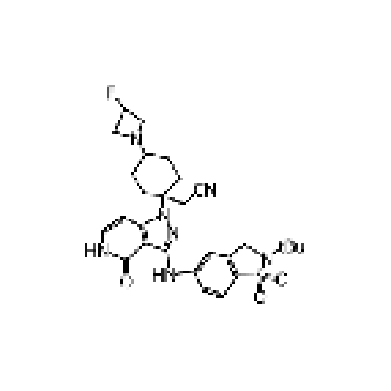 CC(C)(C)N1Cc2cc(Nc3nn([C@]4(CC#N)CC[C@@H](N5CC(F)C5)CC4)c4cc[nH]c(=O)c34)ccc2S1(=O)=O